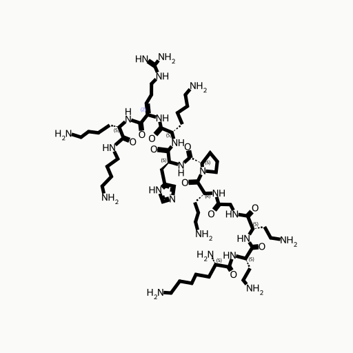 N=C(N)NCC/C=C(\NC(=O)[C@H](CCCCN)NC(=O)[C@H](Cc1cnc[nH]1)NC(=O)[C@@H]1CCCN1C(=O)[C@@H](CCCN)NC(=O)CNC(=O)[C@H](CCN)NC(=O)[C@H](CCN)NC(=O)[C@@H](N)CCCCCN)C(=O)N[C@@H](CCCCN)C(=O)NCCCCN